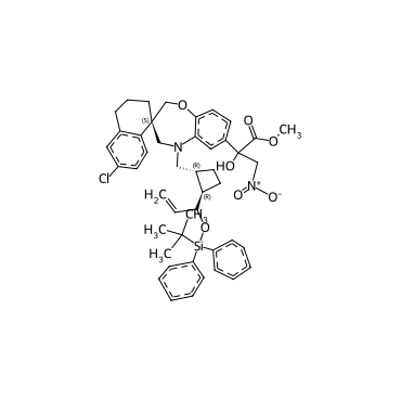 C=CC(O[Si](c1ccccc1)(c1ccccc1)C(C)(C)C)[C@@H]1CC[C@H]1CN1C[C@@]2(CCCc3cc(Cl)ccc32)COc2ccc(C(O)(C[N+](=O)[O-])C(=O)OC)cc21